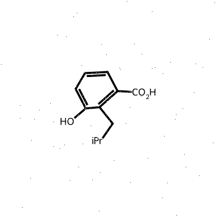 CC(C)Cc1c(O)cccc1C(=O)O